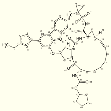 CCc1ccc(-c2cc(O[C@@H]3C[C@H]4C(=O)N[C@]5(C(=O)NS(=O)(=O)C6(C)CC6)C[C@H]5/C=C\CCCCC[C@H](NC(=O)OC5CCCC5)C(=O)N4C3)c3oc4ccccc4c3n2)s1